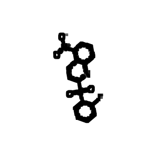 O=[N+]([O-])c1cccc2nc(S(=O)(=O)c3ccccc3F)ccc12